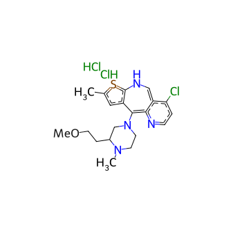 COCCC1CN(C2=c3nccc(Cl)c3=CNc3sc(C)cc32)CCN1C.Cl.Cl